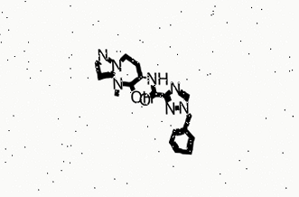 CN1c2ccnn2CC[C@H](NC(=O)c2ncn(Cc3ccccc3)n2)C1O